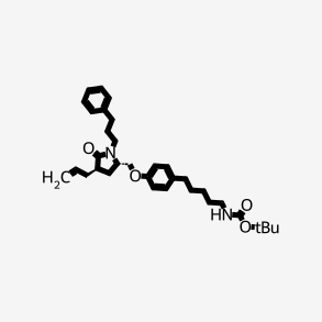 C=CC[C@@H]1C[C@@H](COc2ccc(CCCCCNC(=O)OC(C)(C)C)cc2)N(CCCc2ccccc2)C1=O